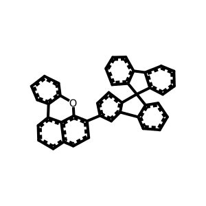 c1ccc2c(c1)Oc1c(-c3ccc4c(c3)-c3ccccc3C43c4ccccc4-c4ccccc43)ccc3cccc-2c13